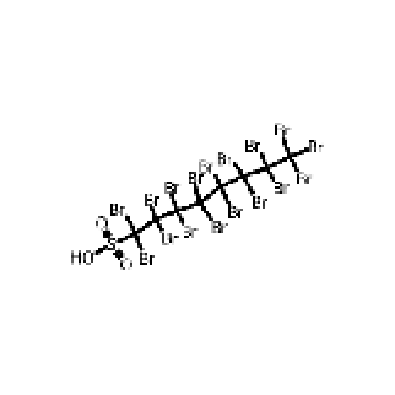 O=S(=O)(O)C(Br)(Br)C(Br)(Br)C(Br)(Br)C(Br)(Br)C(Br)(Br)C(Br)(Br)C(Br)(Br)C(Br)(Br)Br